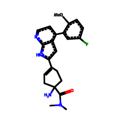 COc1ccc(F)cc1-c1ccnc2[nH]c(C3=CCC(N)(C(=O)N(C)C)CC3)cc12